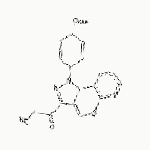 COC1C=CC(N2N=C(C(=O)CC#N)C3=COc4ccccc4C32)C=C1